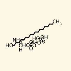 CCCCCCCCCCCCC/C=C/[C@@H](O)[C@@H](N)CO.O=P(O)(O)OCOP(=O)(O)O